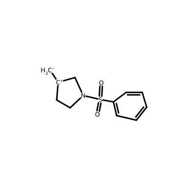 [CH2-][C+]1CCN(S(=O)(=O)c2ccccc2)C1